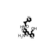 Nc1nc(-c2cnccc2CCO)cc2cc(NC(=O)C3CC3c3cccnc3)ncc12